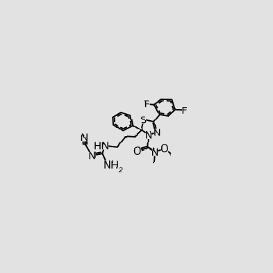 CON(C)C(=O)N1N=C(c2cc(F)ccc2F)SC1(CCCN/C(N)=N\C#N)c1ccccc1